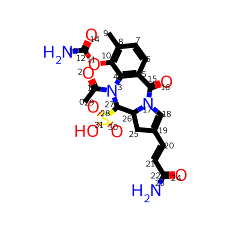 CC(=O)N1c2c(ccc(C)c2OC(N)=O)C(=O)N2C=C(C=CC(N)=O)CC2C1S(=O)(=O)O